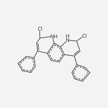 ClC1C=C(c2ccccc2)c2ccc3c(c2N1)NC(Cl)C=C3c1ccccc1